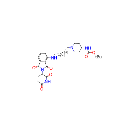 CC(C)(C)OC(=O)NC1CCN(C[C@@H]2C[C@@H]2CNc2cccc3c2C(=O)N(C2CCC(=O)NC2=O)C3=O)CC1